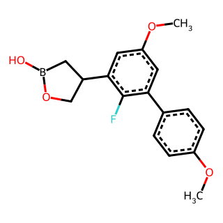 COc1ccc(-c2cc(OC)cc(C3COB(O)C3)c2F)cc1